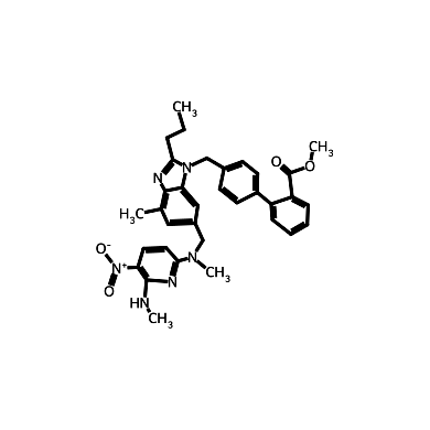 CCCc1nc2c(C)cc(CN(C)c3ccc([N+](=O)[O-])c(NC)n3)cc2n1Cc1ccc(-c2ccccc2C(=O)OC)cc1